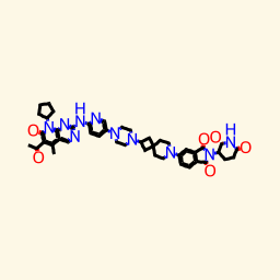 CC(=O)c1c(C)c2cnc(Nc3ccc(N4CCN(C5CC6(CCN(c7ccc8c(c7)C(=O)N(C7CCC(=O)NC7=O)C8=O)CC6)C5)CC4)cn3)nc2n(C2CCCC2)c1=O